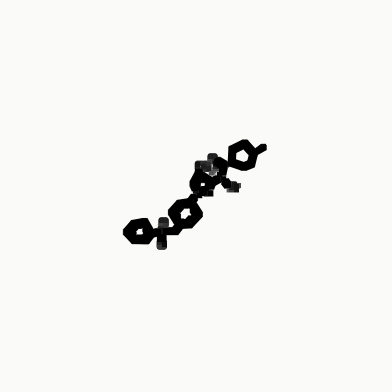 CC(C)N(c1nn(-c2ccc(CS(=O)(=O)c3ccccc3)cc2)cc1C(=O)O)C(=O)[C@H]1CC[C@H](C)CC1